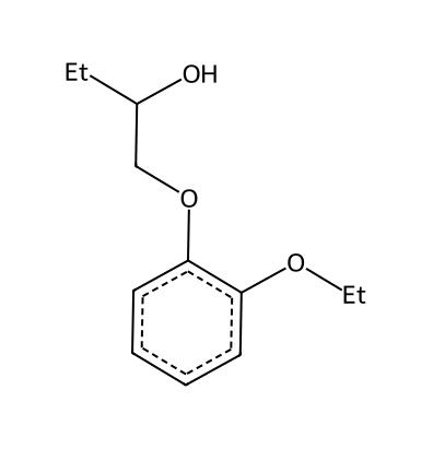 CCOc1ccccc1OCC(O)CC